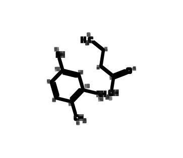 CCCC(=O)O.Cc1ccc(S)cc1N